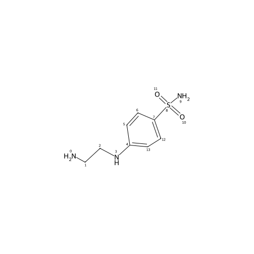 NCCNc1ccc(S(N)(=O)=O)cc1